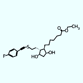 CCOC(=O)CCCCCC[C@@H]1[C@@H](CCSC#Cc2ccc(F)cc2)[C@H](O)C[C@@H]1O